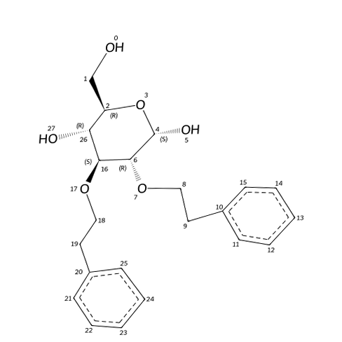 OC[C@H]1O[C@H](O)[C@H](OCCc2ccccc2)[C@@H](OCCc2ccccc2)[C@@H]1O